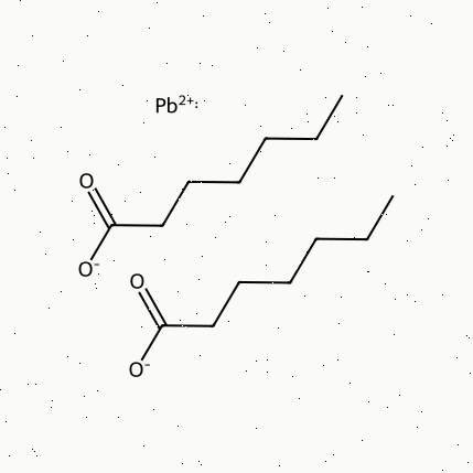 CCCCCCC(=O)[O-].CCCCCCC(=O)[O-].[Pb+2]